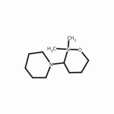 C[Si]1(C)OCCCC1N1CCCCC1